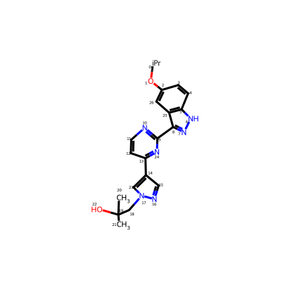 CC(C)Oc1ccc2[nH]nc(-c3nccc(-c4cnn(CC(C)(C)O)c4)n3)c2c1